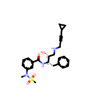 CN(c1cccc(C(=O)N[C@@H](Cc2ccccc2)[C@H](O)CNCC#CC2CC2)c1)S(C)(=O)=O